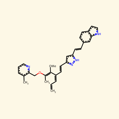 C=C/C=C(/C=C/c1cc(/C=C/c2ccc3cc[nH]c3c2)[nH]n1)C(\OC)=C(/C)OCc1ncccc1C